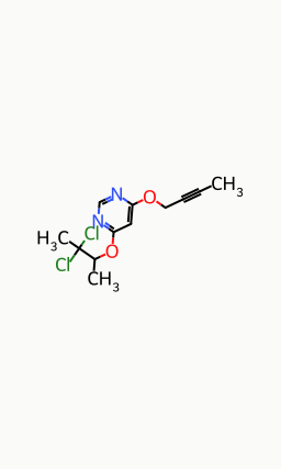 CC#CCOc1cc(OC(C)C(C)(Cl)Cl)ncn1